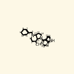 CC1CCN(CC2=CCCC=C2)C2CCN(c3ncnc4[nH]ccc34)C12